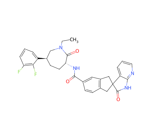 CCN1C[C@H](c2cccc(F)c2F)CC[C@@H](NC(=O)c2ccc3c(c2)CC2(C3)C(=O)Nc3ncccc32)C1=O